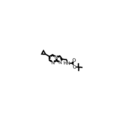 CC(C)(C)OC(=O)NCc1cn2cc(C3CC3)cnc2n1